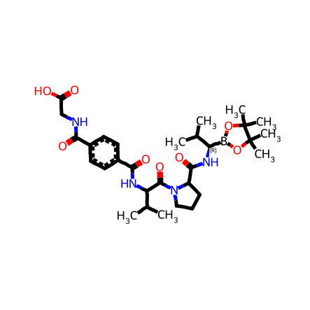 CC(C)C(NC(=O)c1ccc(C(=O)NCC(=O)O)cc1)C(=O)N1CCCC1C(=O)N[C@H](B1OC(C)(C)C(C)(C)O1)C(C)C